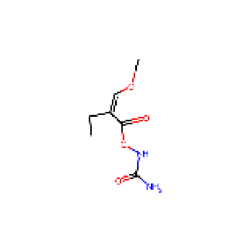 CCC(=COC)C(=O)ONC(N)=O